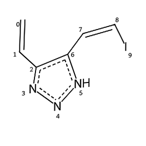 C=Cc1nn[nH]c1/C=C\I